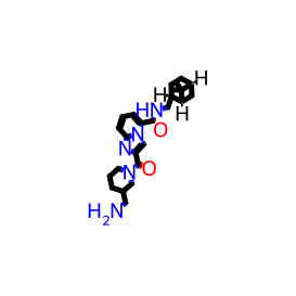 CC1(C)[C@H]2CC[C@@H](CNC(=O)c3cccc4nc(C(=O)N5CCCC(CN)C5)cn34)[C@@H]1C2